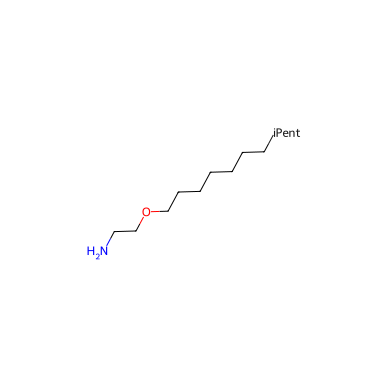 CCCC(C)CCCCCCCOCCN